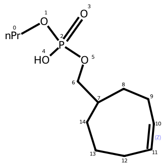 CCCOP(=O)(O)OCC1CC/C=C\CCC1